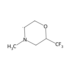 CN1[CH]COC(C(F)(F)F)C1